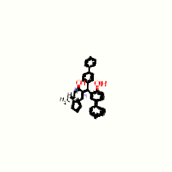 C=C/C=C(O)\C(=C/C1(C)C=CC=C1)C(c1ccc(-c2ccccc2)cc1)c1cc(-c2ccccc2)ccc1O